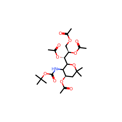 CC(=O)OC[C@@H](OC(C)=O)[C@@H](OC(C)=O)C1OC(C)(C)C[C@@H](OC(C)=O)C1NC(=O)OC(C)(C)C